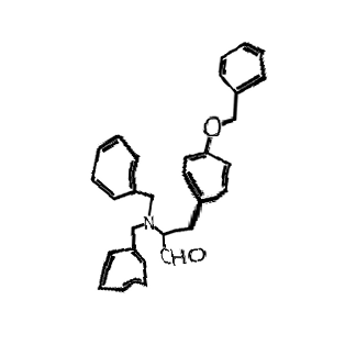 O=CC(Cc1ccc(OCc2ccccc2)cc1)N(Cc1ccccc1)Cc1ccccc1